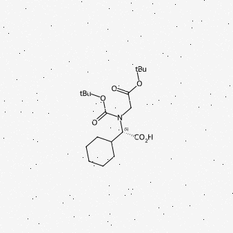 CC(C)(C)OC(=O)CN(C(=O)OC(C)(C)C)[C@H](C(=O)O)C1CCCCC1